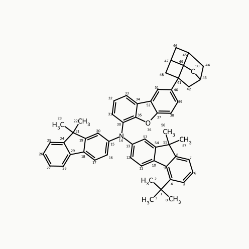 CC(C)(C)c1cccc2c1-c1ccc(N(c3ccc4c(c3)C(C)(C)c3ccccc3-4)c3cccc4c3oc3ccc(C56CC7CC8CC(C5)C86C7)cc34)cc1C2(C)C